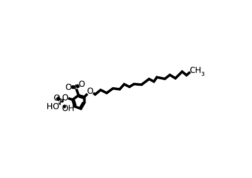 CCCCCCCCCCCCCCCCCCOc1cccc(OP(=O)(O)O)c1I(=O)=O